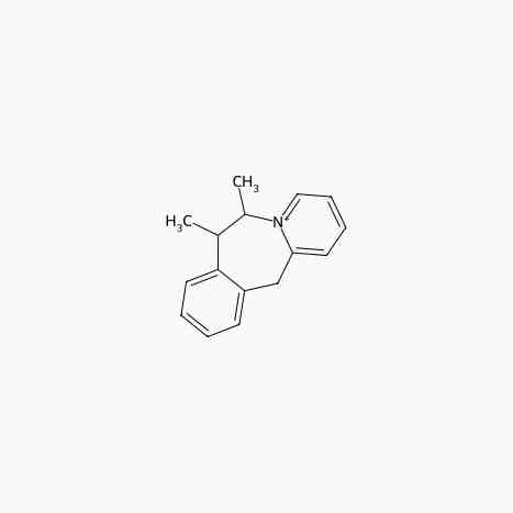 CC1c2ccccc2Cc2cccc[n+]2C1C